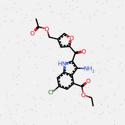 CCOC(=O)c1cc(Cl)cc2[nH]c(C(=O)c3cc(COC(C)=O)co3)c(N)c12